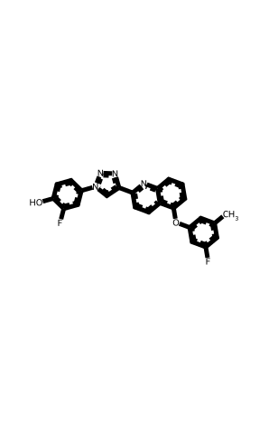 Cc1cc(F)cc(Oc2cccc3nc(-c4cn(-c5ccc(O)c(F)c5)nn4)ccc23)c1